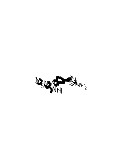 C=C(Nc1cc2cc(-c3cnc(N)s3)ccc2cn1)c1ccnc(SC2CCN(C)CC2)c1